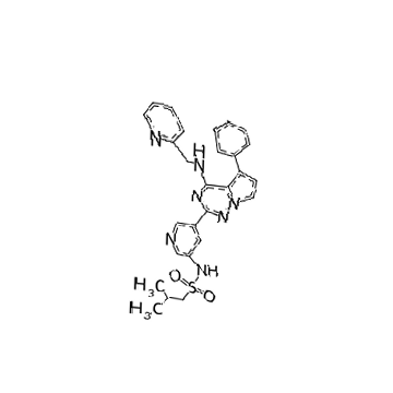 CC(C)CS(=O)(=O)Nc1cncc(-c2nc(NCc3ccccn3)c3c(-c4ccccc4)ccn3n2)c1